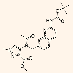 COC(=O)c1nn(C)cc1N(Cc1ccc2ccc(NC(=O)OC(C)(C)C)nc2c1)C(C)=O